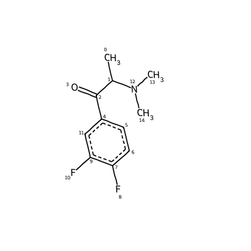 CC(C(=O)c1ccc(F)c(F)c1)N(C)C